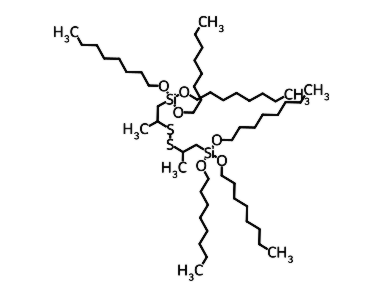 CCCCCCCCO[Si](CC(C)SSC(C)C[Si](OCCCCCCCC)(OCCCCCCCC)OCCCCCCCC)(OCCCCCCCC)OCCCCCCCC